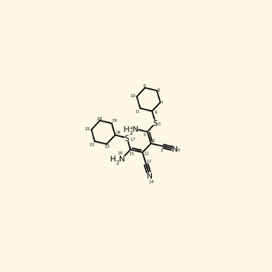 N#CC(=C(N)SC1CCCCC1)C(C#N)=C(N)SC1CCCCC1